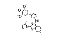 COc1cc(-n2cnc(Nc3nc(N4CCC[C@H]4C)nc4cc(C)ccc34)c2)cc(OC)c1OC